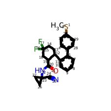 CSc1ccc(-c2ccccc2C2CCC(F)(F)CC2C(=O)NC2(C#N)CC2)cc1